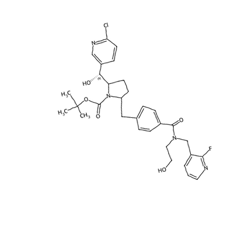 CC(C)(C)OC(=O)N1C(Cc2ccc(C(=O)N(CCO)Cc3cccnc3F)cc2)CCC1[C@H](O)c1ccc(Cl)nc1